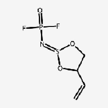 C=CC1COS(=NP(=O)(F)F)O1